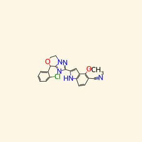 COc1c(C#N)ccc2[nH]c(-c3nc4n(n3)CCOC4c3ccccc3Cl)cc12